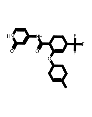 CC1=CCC(OC2=CC(C(F)(F)F)CCC2C(=O)Nc2cc[nH]c(=O)c2)CC1